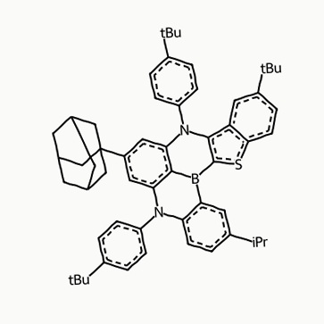 CC(C)c1ccc2c(c1)B1c3sc4ccc(C(C)(C)C)cc4c3N(c3ccc(C(C)(C)C)cc3)c3cc(C45CC6CC(CC(C6)C4)C5)cc(c31)N2c1ccc(C(C)(C)C)cc1